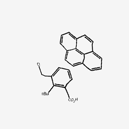 CCCCc1c(CCl)cccc1C(=O)O.c1cc2ccc3cccc4ccc(c1)c2c34